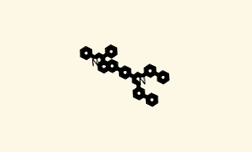 c1ccc(-c2cccc(-c3cc(-c4ccc(-c5ccc6c(ccc7nc(-c8ccccc8)cc(-c8ccccc8)c76)c5)cc4)cc(-c4cccc(-c5ccccc5)c4)n3)c2)cc1